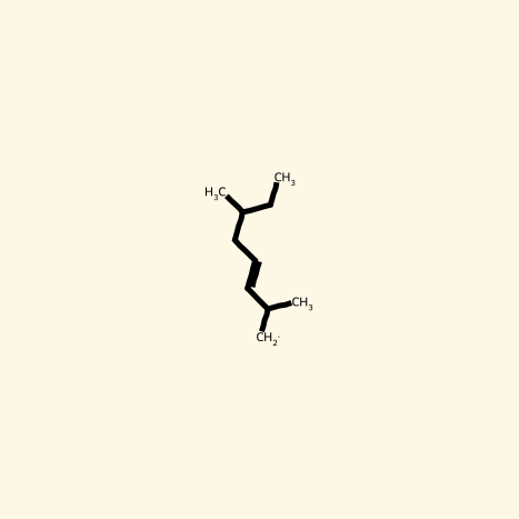 [CH2]C(C)C=CCC(C)CC